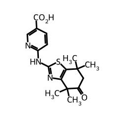 CC1(C)CC(=O)C(C)(C)c2nc(Nc3ccc(C(=O)O)cn3)sc21